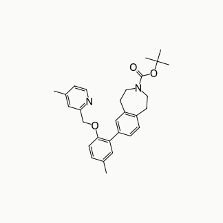 Cc1ccnc(COc2ccc(C)cc2-c2ccc3c(c2)CCN(C(=O)OC(C)(C)C)CC3)c1